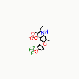 CCC1=C(C)C(OC(=O)OC)c2cc(Oc3ccc(OC(F)(F)F)cc3)c(C)cc2N1